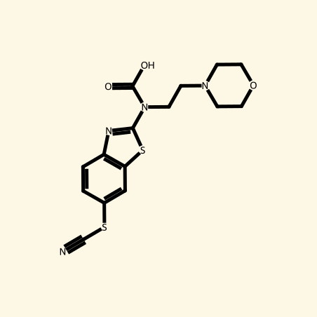 N#CSc1ccc2nc(N(CCN3CCOCC3)C(=O)O)sc2c1